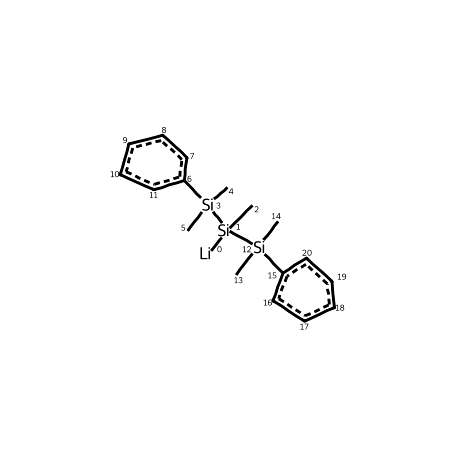 [Li][Si](C)([Si](C)(C)c1ccccc1)[Si](C)(C)c1ccccc1